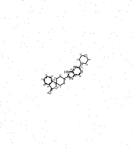 O=C1OC2(CCC(c3nc4cnc(N5CCOCC5)nc4[nH]3)CC2)c2ccccc21